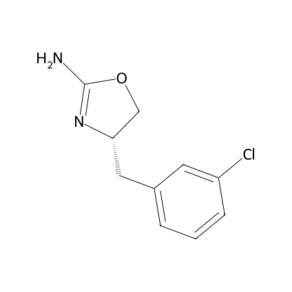 NC1=N[C@@H](Cc2cccc(Cl)c2)CO1